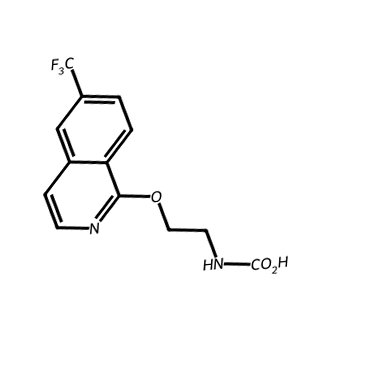 O=C(O)NCCOc1nccc2cc(C(F)(F)F)ccc12